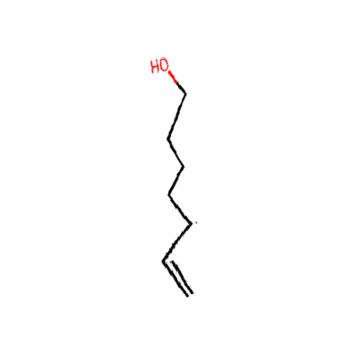 C=C[CH]CCCCO